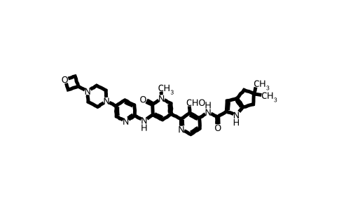 Cn1cc(-c2nccc(NC(=O)c3cc4c([nH]3)CC(C)(C)C4)c2C=O)cc(Nc2ccc(N3CCN(C4COC4)CC3)cn2)c1=O